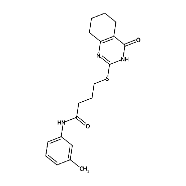 Cc1cccc(NC(=O)CCCSc2nc3c(c(=O)[nH]2)CCCC3)c1